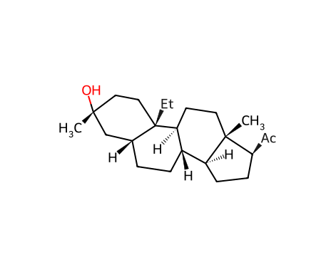 CC[C@]12CC[C@@](C)(O)C[C@H]1CC[C@H]1[C@@H]3CC[C@H](C(C)=O)[C@@]3(C)CC[C@@H]12